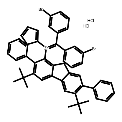 CC(C)(C)c1cc2c(cc1-c1ccccc1)Cc1c-2cc(C(C)(C)C)c(-c2ccccc2)[c]1[Zr]([C]1=CC=CC1)=[C](c1cccc(Br)c1)c1cccc(Br)c1.Cl.Cl